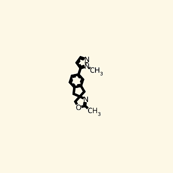 CC1=NC2(CO1)Cc1ccc(-c3ccnn3C)cc1C2